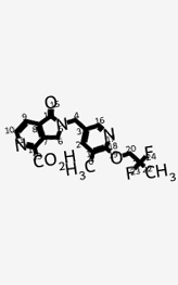 Cc1cc(CN2Cc3c(ccnc3C(=O)O)C2=O)cnc1OCC(C)(F)F